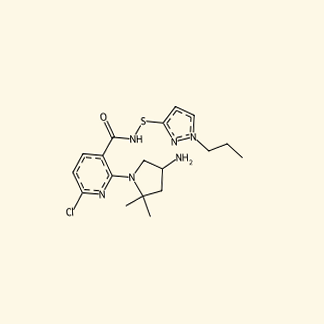 CCCn1ccc(SNC(=O)c2ccc(Cl)nc2N2CC(N)CC2(C)C)n1